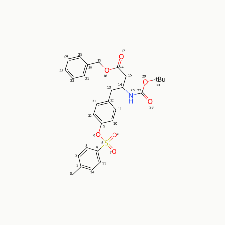 Cc1ccc(S(=O)(=O)Oc2ccc(CC(CC(=O)OCc3ccccc3)NC(=O)OC(C)(C)C)cc2)cc1